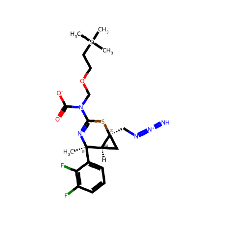 C[C@]1(c2cccc(F)c2F)N=C(N(COCC[Si](C)(C)C)C(=O)[O-])S[C@@]2(CN=[N+]=N)C[C@H]21